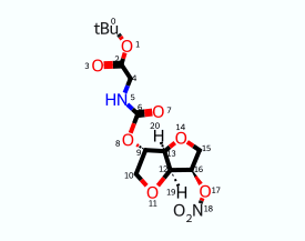 CC(C)(C)OC(=O)CNC(=O)O[C@H]1CO[C@H]2[C@@H]1OC[C@H]2O[N+](=O)[O-]